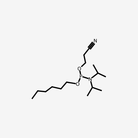 CCCCCCOP(OCCC#N)N(C(C)C)C(C)C